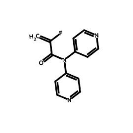 C=C(F)C(=O)N(c1ccncc1)c1ccncc1